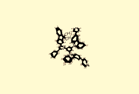 CC1(C)c2ccccc2-c2ccc(-c3cc(-c4ccccc4)nc(-c4cc(-n5c6ccccc6c6cc(-c7ccncc7)ccc65)cc(-n5c6ccccc6c6cc(-c7ccncc7)ccc65)c4)n3)cc21